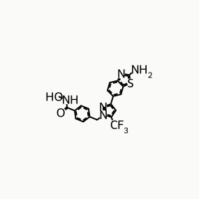 Nc1nc2ccc(-c3cc(C(F)(F)F)n(Cc4ccc(C(=O)NO)cc4)n3)cc2s1